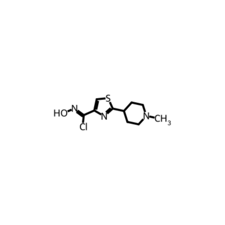 CN1CCC(c2nc(C(Cl)=NO)cs2)CC1